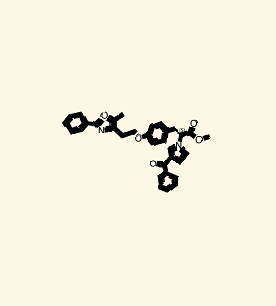 COC(=O)[C@H](Cc1ccc(OCCc2nc(-c3ccccc3)oc2C)cc1)n1ccc(C(=O)c2ccccc2)c1